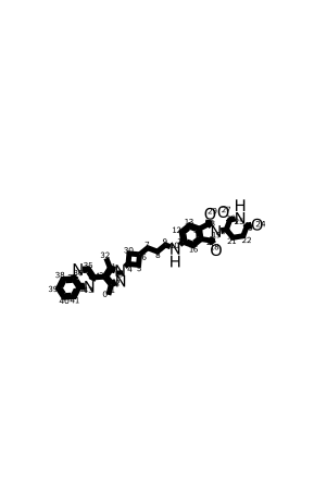 Cc1nn(C2CC(CCCNc3ccc4c(c3)C(=O)N(C3CCC(=O)NC3=O)C4=O)C2)c(C)c1-c1cnc2ccccc2n1